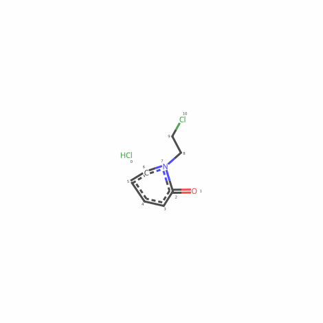 Cl.O=c1ccccn1CCCl